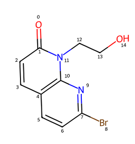 O=c1ccc2ccc(Br)nc2n1CCO